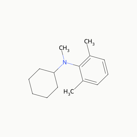 Cc1cccc(C)c1N(C)C1CCCCC1